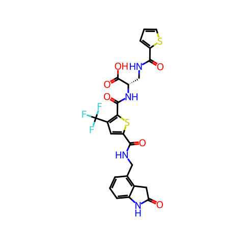 O=C1Cc2c(CNC(=O)c3cc(C(F)(F)F)c(C(=O)N[C@@H](CNC(=O)c4cccs4)C(=O)O)s3)cccc2N1